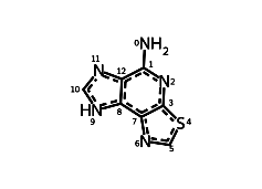 Nc1nc2scnc2c2[nH]cnc12